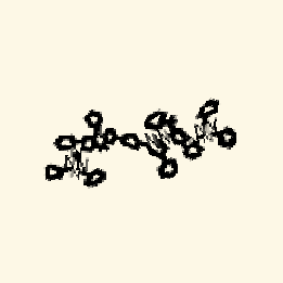 CC1(C)c2cc(-c3ccc(-c4cc(-c5ccccc5)cc(N5c6ccccc6C(C)(C)c6cc7c(cc65)c5ccccc5n7-c5nc(-c6ccccc6)nc(-c6ccccc6)n5)n4)cc3)ccc2N(c2ccccc2)c2cc3c4ccccc4n(-c4nc(-c5ccccc5)nc(-c5ccccc5)n4)c3cc21